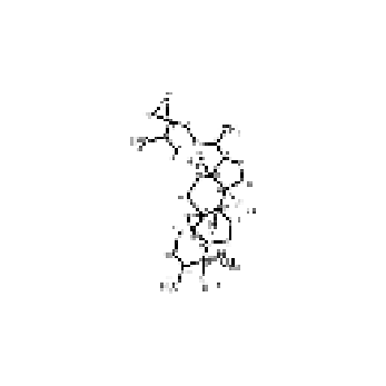 CC(C)C1(CC[C@@H](C)C2CC[C@@]3(C)[C@@H]4CC[C@H]5C(C)(C)[C@@H](C)CC[C@@]56CC46CC[C@]23C)CO1